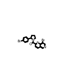 O=C(c1ccc2cncc(Br)c2n1)N1CCCC1c1ccc(Br)cc1